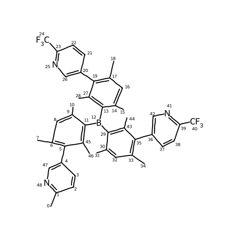 Cc1ccc(-c2c(C)cc(C)c(B(c3c(C)cc(C)c(-c4ccc(C(F)(F)F)nc4)c3C)c3c(C)cc(C)c(-c4ccc(C(F)(F)F)nc4)c3C)c2C)cn1